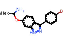 CCCCCCC(N)Oc1ccc2c(-c3ccc(Br)cc3)n[nH]c2c1